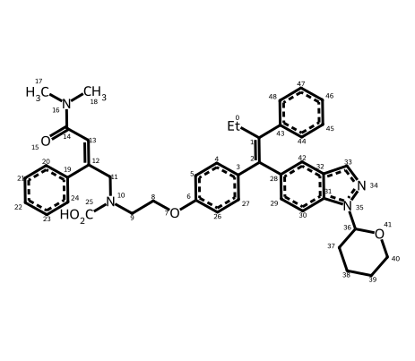 CCC(=C(c1ccc(OCCN(CC(=CC(=O)N(C)C)c2ccccc2)C(=O)O)cc1)c1ccc2c(cnn2C2CCCCO2)c1)c1ccccc1